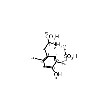 NC(Cc1cc(F)c(O)cc1F)C(=O)O.O=S(=O)(O)F